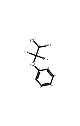 FC(Cl)C(F)(F)Oc1[c]cccc1